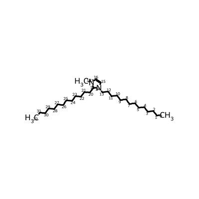 CCCCCCCCCCCCCCN1C=CN(C)C1CCCCCCCCCCCCC